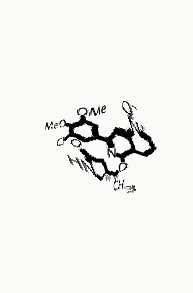 COc1cc(-c2cc3c(ccc[n+]3[O-])c(O[C@H](C)[C@H]3CNC(=O)C3)n2)cc(Cl)c1OC